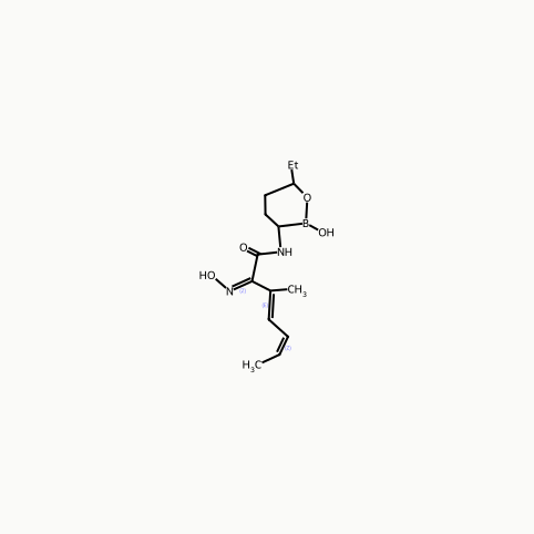 C\C=C/C=C(C)/C(=N/O)C(=O)NC1CCC(CC)OB1O